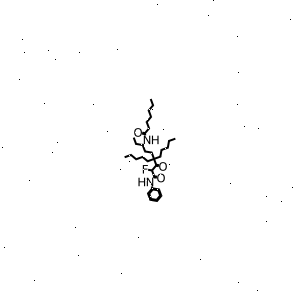 CCCCCCC(=O)NC(CC)CCC(CCCCC)(CCCCC)C(=O)C(F)C(=O)Nc1ccccc1